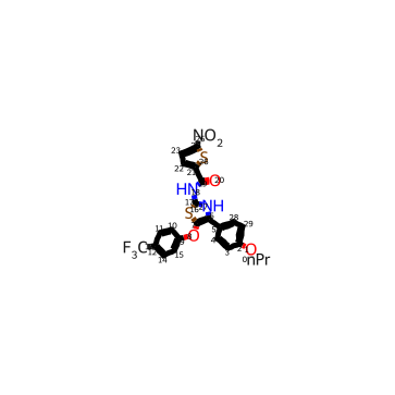 CCCOc1ccc(C2=C(Oc3ccc(C(F)(F)F)cc3)SC(NC(=O)c3ccc([N+](=O)[O-])s3)N2)cc1